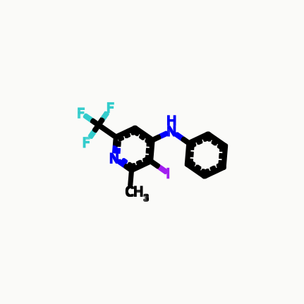 Cc1nc(C(F)(F)F)cc(Nc2ccccc2)c1I